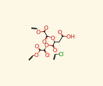 C=CCl.C=COC(=O)C(=O)OC(=O)C(CC(=O)O)OC(=O)C(=O)OC=C